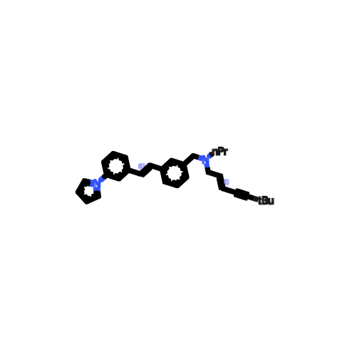 CCCN(C/C=C/C#CC(C)(C)C)Cc1cccc(/C=C/c2cccc(-n3cccc3)c2)c1